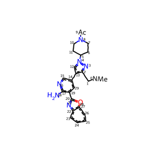 CNCc1nn(C2CCN(C(C)=O)CC2)cc1-c1cnc(N)c(-c2nc3ccccc3o2)c1